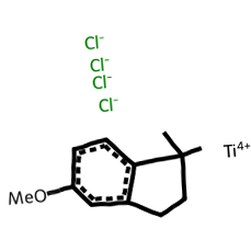 COc1ccc2c(c1)CCC2(C)C.[Cl-].[Cl-].[Cl-].[Cl-].[Ti+4]